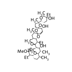 CC[C@@H](C(=O)[C@@H](C)[C@@H](O)[C@H](C)[C@@H]1O[C@@H]([C@@H](CC)C(=O)OC)CC[C@@H]1C)[C@H]1O[C@@]2(C=C[C@@H](O)[C@]3(CC[C@@](C)([C@H]4CC[C@](O)(CC)[C@H](C)O4)O3)O2)[C@H](C)C[C@@H]1C